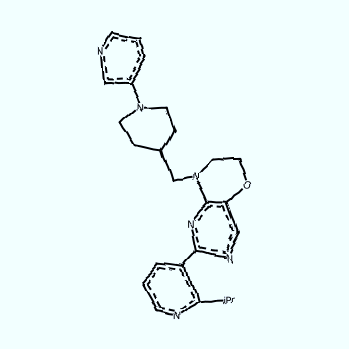 CC(C)c1ncccc1-c1ncc2c(n1)N(CC1CCN(c3cccnc3)CC1)CCO2